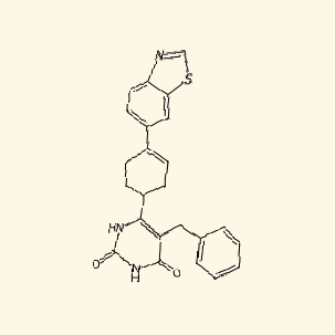 O=c1[nH]c(C2CC=C(c3ccc4ncsc4c3)CC2)c(Cc2ccccc2)c(=O)[nH]1